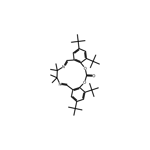 CC(C)(C)c1cc2c(c(C(C)(C)C)c1)OC(=O)Oc1c(cc(C(C)(C)C)cc1C(C)(C)C)/C=N/C(C)(C)C(C)(C)/N=C/2